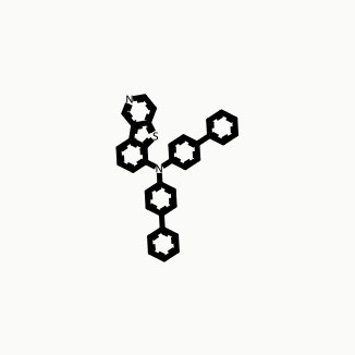 c1ccc(-c2ccc(N(c3ccc(-c4ccccc4)cc3)c3cccc4c3sc3ccncc34)cc2)cc1